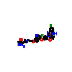 CC(N)C(=O)CC1CN(CCCOc2ccc3c(Oc4ccc(NC(=O)C5(C(=O)Nc6ccc(F)cc6)CC5)cc4F)ccnc3c2)C1